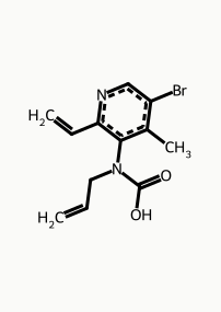 C=CCN(C(=O)O)c1c(C=C)ncc(Br)c1C